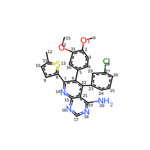 COc1ccc(-c2c(-c3ccc(C)s3)nc3ncnc(N)c3c2-c2cccc(Cl)c2)cc1OC